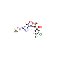 OC(c1ccc(Cl)c(Cl)c1)[C@H]1O[C@@H](N2C=CC3C(=NOCC(F)(F)F)N=CNC32)[C@H](O)[C@@H]1O